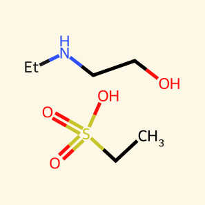 CCNCCO.CCS(=O)(=O)O